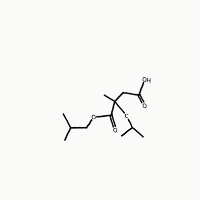 CC(C)COC(=O)C(C)(CC(=O)O)CC(C)C